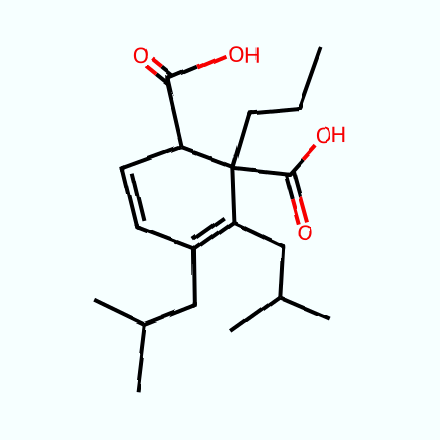 CCCC1(C(=O)O)C(CC(C)C)=C(CC(C)C)C=CC1C(=O)O